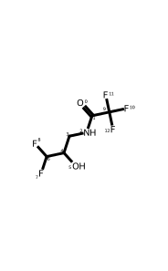 O=C(NCC(O)C(F)F)C(F)(F)F